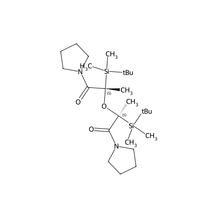 CC(C)(C)[Si](C)(C)[C@](C)(O[C@](C)(C(=O)N1CCCC1)[Si](C)(C)C(C)(C)C)C(=O)N1CCCC1